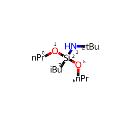 CCCO[Si](NC(C)(C)C)(OCCC)C(C)CC